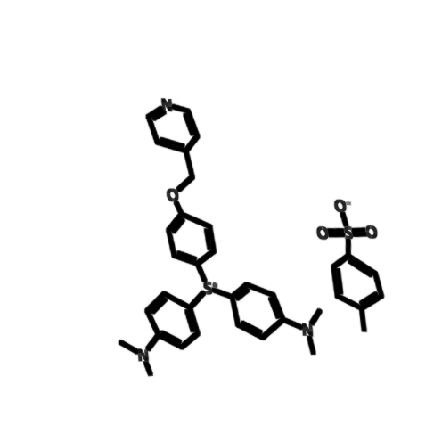 CN(C)c1ccc([S+](c2ccc(OCc3ccncc3)cc2)c2ccc(N(C)C)cc2)cc1.Cc1ccc(S(=O)(=O)[O-])cc1